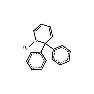 PN1C=CC=CC1(c1ccccc1)c1ccccc1